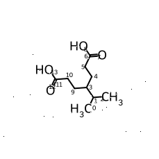 CC(C)C(CCC(=O)O)CCC(=O)O